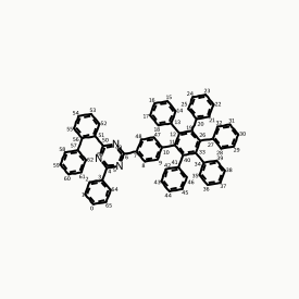 c1ccc(-c2nc(-c3ccc(-c4c(-c5ccccc5)c(-c5ccccc5)c(-c5ccccc5)c(-c5ccccc5)c4-c4ccccc4)cc3)nc(-c3ccccc3-c3ccccc3)n2)cc1